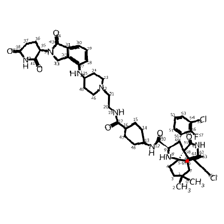 CC1(C)CCC2(CC1)N[C@@H](C(=O)NC1CCC(C(=O)NCCN3CCC(Nc4cccc5c4CN(C4CCC(=O)NC4=O)C5=O)CC3)CC1)[C@H](c1cccc(Cl)c1F)[C@]21C(=O)Nc2cc(Cl)ccc21